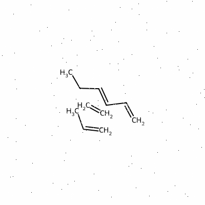 C=C.C=C/C=C/CC.C=CC